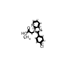 C.O=C(O)Cn1c(-c2ccc(Cl)cc2)nc2cccnc21